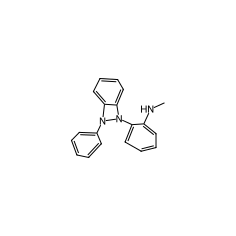 CNc1ccccc1-n1c2ccccc2n1-c1ccccc1